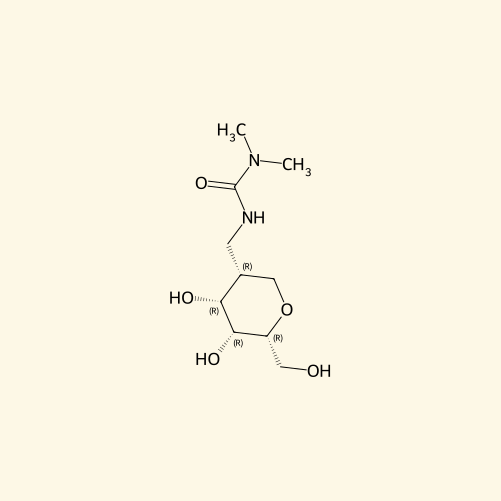 CN(C)C(=O)NC[C@@H]1CO[C@H](CO)[C@H](O)[C@@H]1O